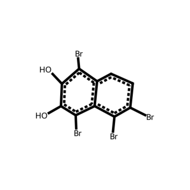 Oc1c(O)c(Br)c2c(Br)c(Br)ccc2c1Br